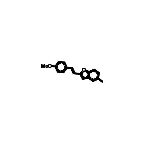 COc1ccc(/C=C/c2cc3cc(C)ccc3o2)cc1